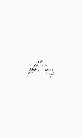 [Fe+3].[Fe+3].[MgH2].[MgH2].[O-2].[O-2].[O-2]